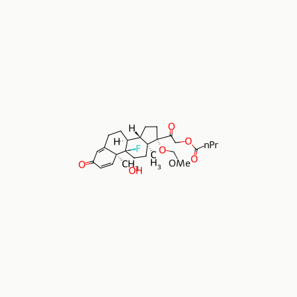 CCCC(=O)OCC(=O)[C@]1(OCOC)CC[C@H]2[C@@H]3CCC4=CC(=O)C=C[C@]4(C)[C@@]3(F)[C@@H](O)C[C@@]21C